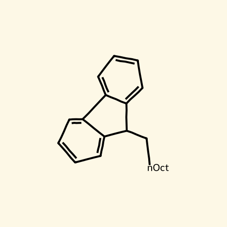 CCCCCCCCCC1c2ccccc2-c2ccccc21